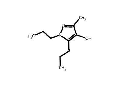 CCCc1c(O)c(C)nn1CCC